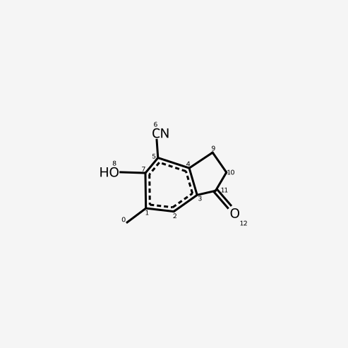 Cc1cc2c(c(C#N)c1O)CCC2=O